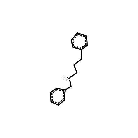 c1ccc(CCC[SiH2]Cc2ccccc2)cc1